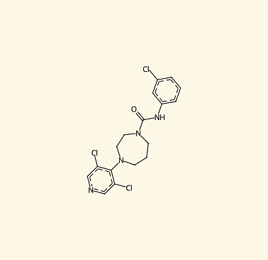 O=C(Nc1cccc(Cl)c1)N1CCCN(c2c(Cl)cncc2Cl)CC1